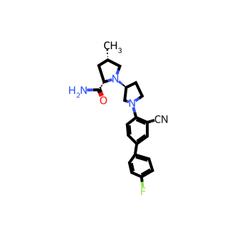 C[C@H]1C[C@@H](C(N)=O)N([C@H]2CCN(c3ccc(-c4ccc(F)cc4)cc3C#N)C2)C1